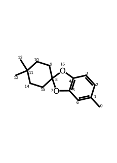 Cc1ccc2c(c1)OC1(CCC(C)(C)CC1)O2